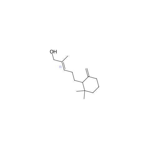 C=C1CCCC(C)(C)C1CC/C=C(\C)CO